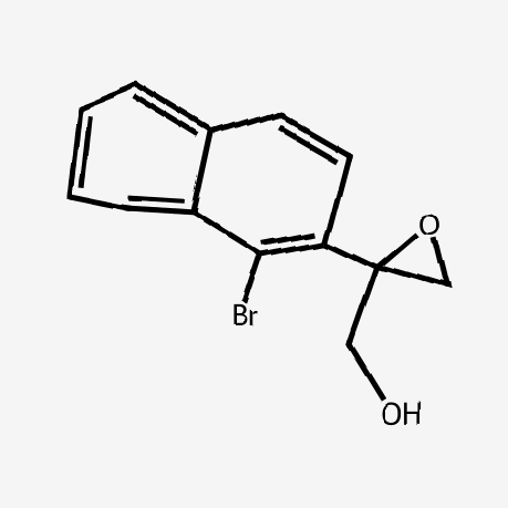 OCC1(c2ccc3ccccc3c2Br)CO1